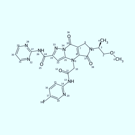 COC[C@H](C)N1Cc2c(n(CC(=O)Nc3ccc(F)cn3)c3cc(C(=O)Nc4ncccn4)nn3c2=O)C1=O